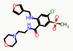 CS(=O)(=O)c1cc(C(=O)NCCN2CCOCC2)c(NCc2ccoc2)cc1Cl